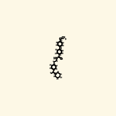 CC(c1ccc(CCNC(=O)c2ccc(-c3ccc(OC(F)(F)F)cc3)cc2)cc1)N1CCCCC1